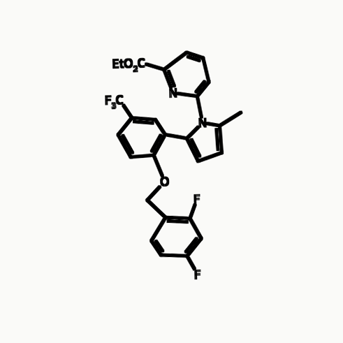 CCOC(=O)c1cccc(-n2c(C)ccc2-c2cc(C(F)(F)F)ccc2OCc2ccc(F)cc2F)n1